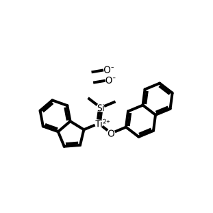 C[O-].C[O-].C[Si](C)=[Ti+2]([O]c1ccc2ccccc2c1)[CH]1C=Cc2ccccc21